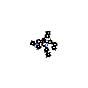 C=C1/C=C(c2cc3c(cc2-n2c4ccccc4c4cc5ccccc5cc42)sc2ccc4ccccc4c23)\N=C(\c2ccc(-c3ccccc3)cc2)C/C=C\1c1cccc2c1c1ccccc1n2-c1ccccc1